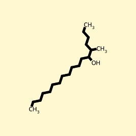 CCCCCCCCCCCCC(O)C(C)CCCC